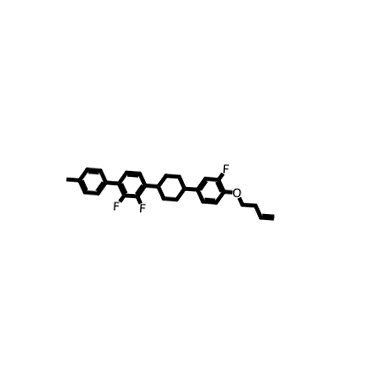 C=CCCOc1ccc(C2CCC(c3ccc(-c4ccc(C)cc4)c(F)c3F)CC2)cc1F